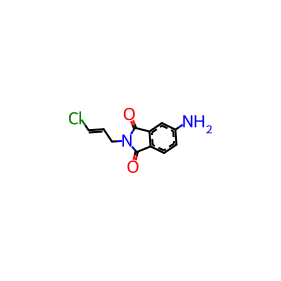 Nc1ccc2c(c1)C(=O)N(CC=CCl)C2=O